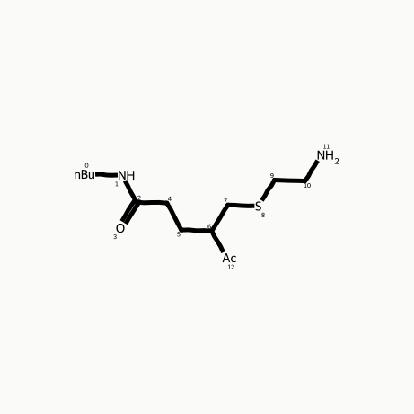 CCCCNC(=O)CCC(CSCCN)C(C)=O